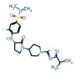 CC(C)c1nsc(N2CCC(N3CC[C@@H](Nc4ccc(S(=O)(=O)N(C)C)cc4F)C3=O)CC2)n1